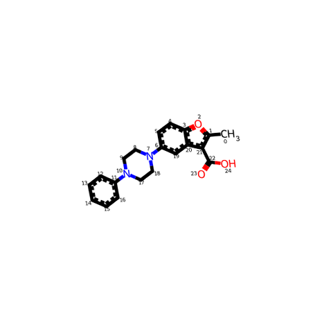 Cc1oc2ccc(N3CCN(c4ccccc4)CC3)cc2c1C(=O)O